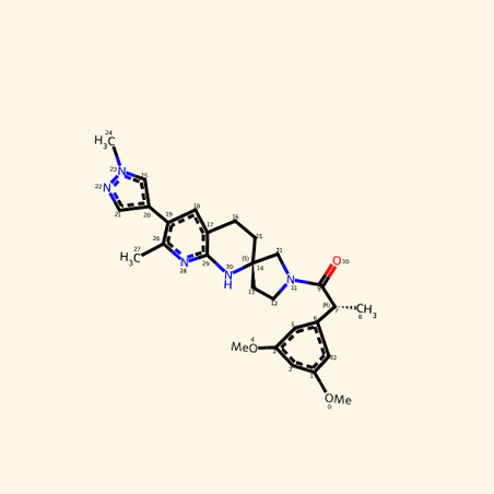 COc1cc(OC)cc([C@@H](C)C(=O)N2CC[C@@]3(CCc4cc(-c5cnn(C)c5)c(C)nc4N3)C2)c1